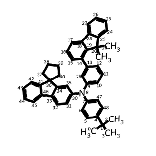 CC(C)(C)c1ccc(N(c2cccc(-c3cccc4c3C(C)(C)c3ccccc3-4)c2)c2ccc3c(c2)C2(CCCC2)c2ccccc2-3)cc1